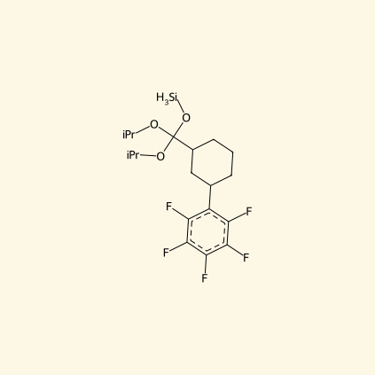 CC(C)OC(O[SiH3])(OC(C)C)C1CCCC(c2c(F)c(F)c(F)c(F)c2F)C1